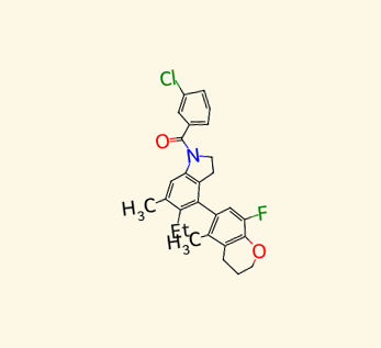 CCc1c(C)cc2c(c1-c1cc(F)c3c(c1C)CCCO3)CCN2C(=O)c1cccc(Cl)c1